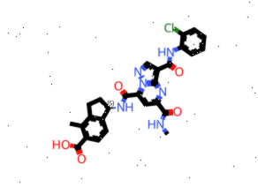 CNC(=O)c1cc(C(=O)N[C@H]2CCc3c2ccc(C(=O)O)c3C)n2ncc(C(=O)Nc3ccccc3Cl)c2n1